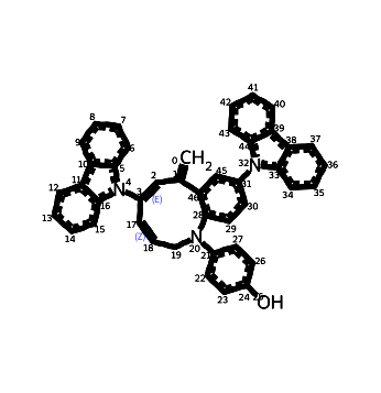 C=C1/C=C(n2c3ccccc3c3ccccc32)\C=C/CN(c2ccc(O)cc2)c2ccc(-n3c4ccccc4c4ccccc43)cc21